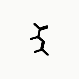 C=C(C)[C](C)C=C(C)C